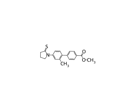 COC(=O)c1ccc(-c2ccc(N3CCCC3=S)cc2C)cc1